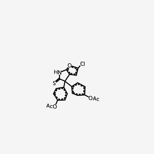 CC(=O)Oc1ccc(C2(c3ccc(OC(C)=O)cc3)C(=S)Nc3oc(Cl)cc32)cc1